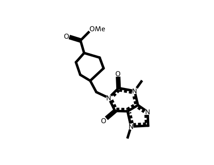 COC(=O)C1CCC(Cn2c(=O)c3c(ncn3C)n(C)c2=O)CC1